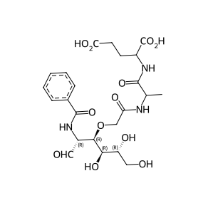 CC(NC(=O)CO[C@@H]([C@H](O)[C@H](O)CO)[C@H](C=O)NC(=O)c1ccccc1)C(=O)NC(CCC(=O)O)C(=O)O